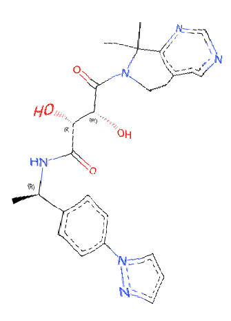 C[C@@H](NC(=O)[C@H](O)[C@@H](O)C(=O)N1Cc2cncnc2C1(C)C)c1ccc(-n2cccn2)cc1